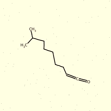 CC(C)CCCCCC=C=O